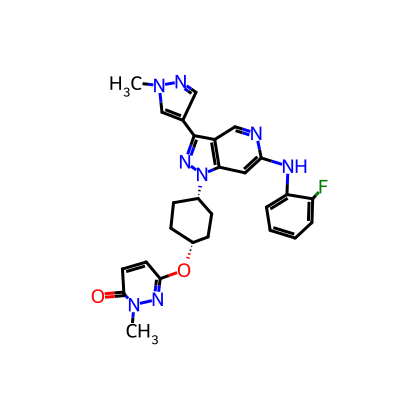 Cn1cc(-c2nn([C@H]3CC[C@@H](Oc4ccc(=O)n(C)n4)CC3)c3cc(Nc4ccccc4F)ncc23)cn1